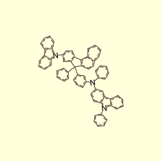 c1ccc(N(c2cccc(C3(c4ccccc4)c4cc(-n5c6ccccc6c6ccccc65)ccc4-c4c3ccc3ccccc43)c2)c2ccc3c(c2)c2ccccc2n3-c2ccccc2)cc1